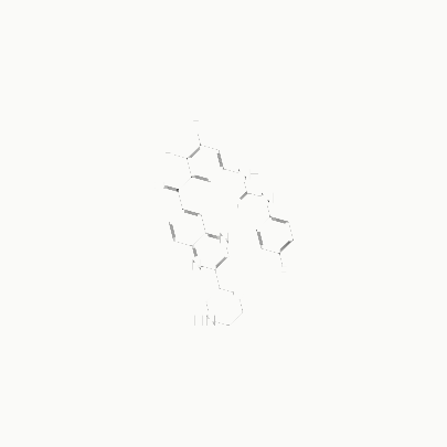 O=C(Nc1ccc(F)cc1)Nc1cc(F)c(F)c(C(=O)c2ccc3nc(C4CNCCO4)cnc3c2)c1